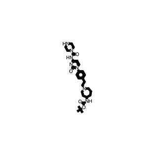 CC(C)(C)OC(=O)NC1CCCN(CCc2ccc(-n3ccc(NC(=O)N4CCNCC4)nc3=O)cc2)CC1